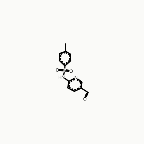 Cc1ccc(S(=O)(=O)Nc2ccc(C=O)cn2)cc1